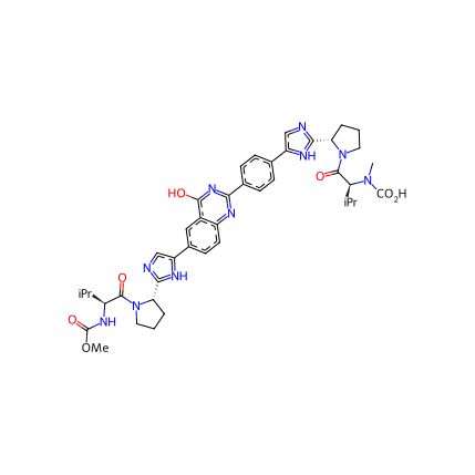 COC(=O)N[C@H](C(=O)N1CCC[C@H]1c1ncc(-c2ccc3nc(-c4ccc(-c5cnc([C@@H]6CCCN6C(=O)[C@H](C(C)C)N(C)C(=O)O)[nH]5)cc4)nc(O)c3c2)[nH]1)C(C)C